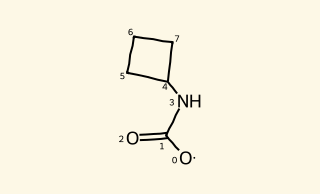 [O]C(=O)NC1CCC1